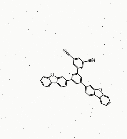 N#Cc1cc(C#N)cc(-c2cc(-c3ccc4c(c3)oc3ccccc34)cc(-c3ccc4c(c3)oc3ccccc34)c2)c1